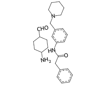 NC1CCC(C=O)CC1.O=C(Cc1ccccc1)Nc1cccc(CN2CCCCC2)c1